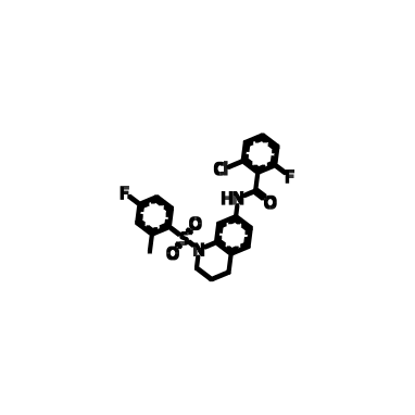 Cc1cc(F)ccc1S(=O)(=O)N1CCCc2ccc(NC(=O)c3c(F)cccc3Cl)cc21